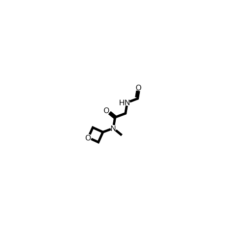 CN(C(=O)CNC=O)C1COC1